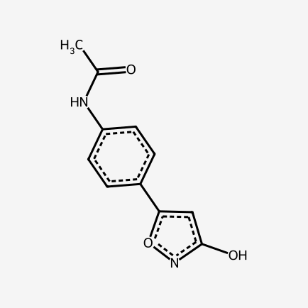 CC(=O)Nc1ccc(-c2cc(O)no2)cc1